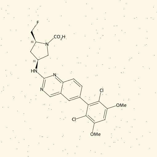 COc1cc(OC)c(Cl)c(-c2ccc3nc(N[C@H]4C[C@@H](CF)N(C(=O)O)C4)ncc3c2)c1Cl